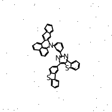 c1cc(-c2nc(-c3ccc4sc5ccccc5c4c3)c3sc4ccccc4c3n2)cc(N2c3cc4ccccc4cc3-c3cccc4cccc2c34)c1